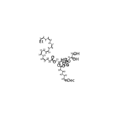 CC/C=C\C/C=C\C/C=C\C/C=C\C/C=C\C/C=C\CCC(=O)OC[C@H](COP(=O)(O)OC[C@@H](O)CO)OC(=O)CCCCCCCCCCCCCCC